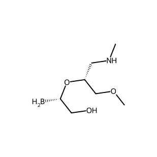 B[C@@H](CO)O[C@H](CNC)COC